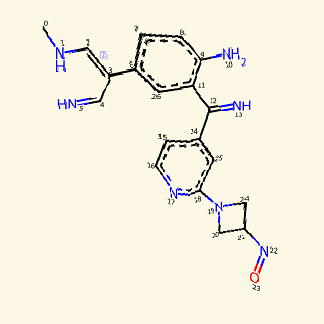 CN/C=C(\C=N)c1ccc(N)c(C(=N)c2ccnc(N3CC(N=O)C3)c2)c1